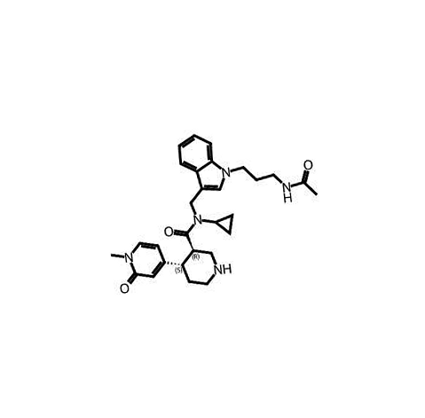 CC(=O)NCCCn1cc(CN(C(=O)[C@H]2CNCC[C@@H]2c2ccn(C)c(=O)c2)C2CC2)c2ccccc21